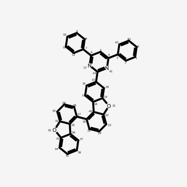 c1ccc(-c2cc(-c3ccccc3)nc(-c3ccc4c(c3)oc3cccc(-c5cccc6oc7ccccc7c56)c34)n2)cc1